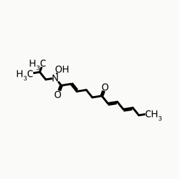 CCC=CC=CC(=O)CCC=CC(=O)N(O)CC(C)C